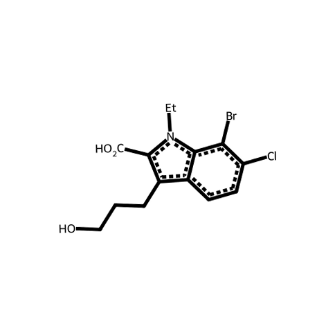 CCn1c(C(=O)O)c(CCCO)c2ccc(Cl)c(Br)c21